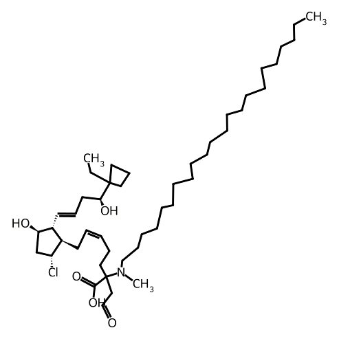 CCCCCCCCCCCCCCCCCCCCCCN(C)C(CC=O)(CC/C=C\C[C@@H]1[C@@H](/C=C/C[C@H](O)C2(CC)CCC2)[C@H](O)C[C@H]1Cl)C(=O)O